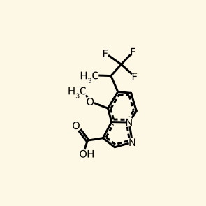 COc1c(C(C)C(F)(F)F)ccn2ncc(C(=O)O)c12